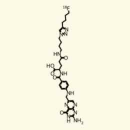 Nc1nc2ncc(CNc3ccc(C(=O)NC(CCC(=O)NCCCCn4cc(CCCC[18F])nn4)C(=O)O)cc3)nc2c(=O)[nH]1